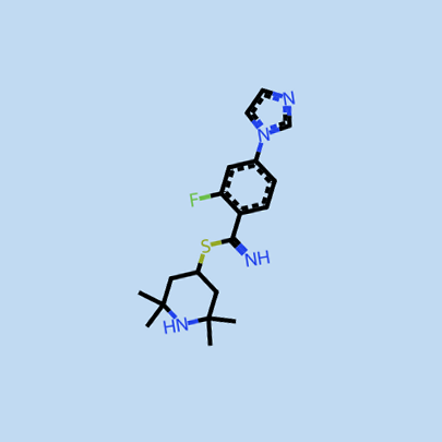 CC1(C)CC(SC(=N)c2ccc(-n3ccnc3)cc2F)CC(C)(C)N1